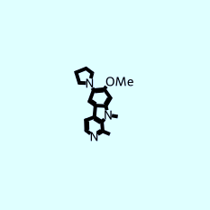 COc1cc2c(cc1N1CCCC1)c1ccnc(C)c1n2C